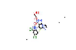 O=C(NOCCO)c1cn2ccnc2c(F)c1Nc1ccc(Cl)cc1Cl